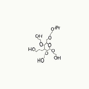 CC(C)OCCOCC1OC(OCCO)C(OCCO)C(CCCO)C1OCCO